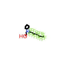 OCCN(c1ccccc1)C(F)(F)C(F)(F)C(F)(F)C(F)(F)C(F)(F)C(F)(F)C(F)(F)C(F)(F)F